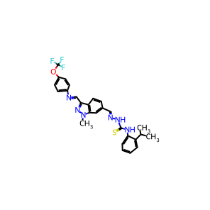 CC(C)c1ccccc1NC(=S)NN=Cc1ccc2c(/C=N/c3ccc(OC(F)(F)F)cc3)nn(C)c2c1